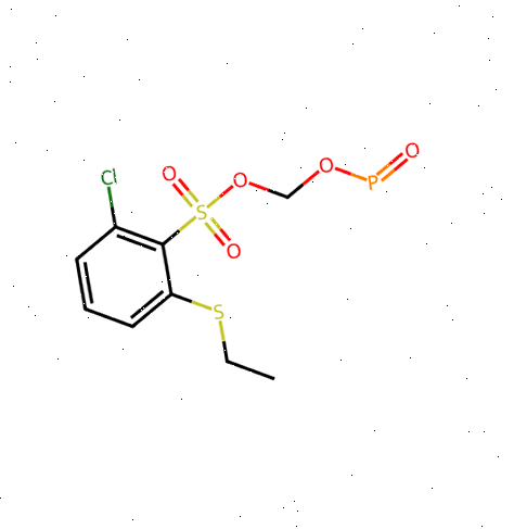 CCSc1cccc(Cl)c1S(=O)(=O)OCOP=O